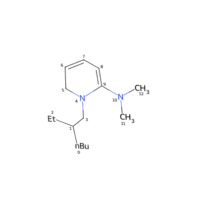 CCCCC(CC)CN1CC=CC=C1N(C)C